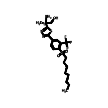 CCCCCCCCS(=O)(=O)c1ccc(-c2nnc([C@@](C)(N)CO)s2)cc1C(F)(F)F